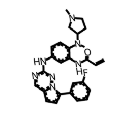 C=CC(=O)Nc1cc(Nc2ncc3ccc(-c4cccc(F)c4)n3n2)ccc1N(C)C1CCN(C)C1